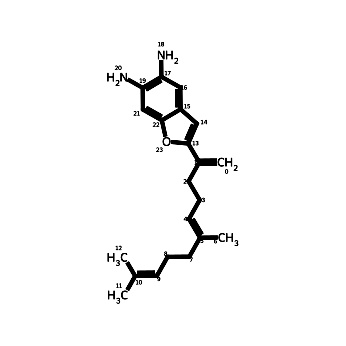 C=C(CC/C=C(\C)CCC=C(C)C)c1cc2cc(N)c(N)cc2o1